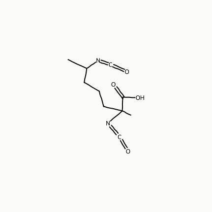 CC(CCCC(C)(N=C=O)C(=O)O)N=C=O